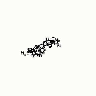 Cc1ncc(Cl)cc1C(=O)N[C@H]1CC[C@H](Cn2c(=O)n(-c3cc(N(C)C)ccc3C#N)c3ccccc32)CC1